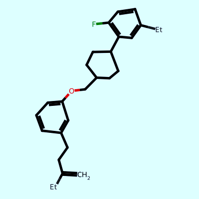 C=C(CC)CCc1cccc(OCC2CCC(c3cc(CC)ccc3F)CC2)c1